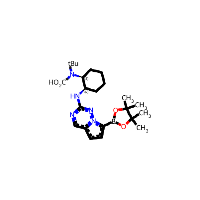 CC(C)(C)N(C(=O)O)[C@H]1CCCC[C@H]1Nc1ncc2ccc(B3OC(C)(C)C(C)(C)O3)n2n1